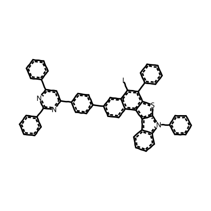 Ic1c(-c2ccccc2)c2sc3c(c4ccccc4n3-c3ccccc3)c2c2ccc(-c3ccc(-c4cc(-c5ccccc5)nc(-c5ccccc5)n4)cc3)cc12